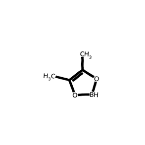 CC1=C(C)OBO1